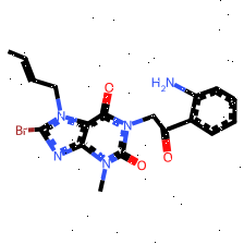 CC=CCn1c(Br)nc2c1c(=O)n(CC(=O)c1ccccc1N)c(=O)n2C